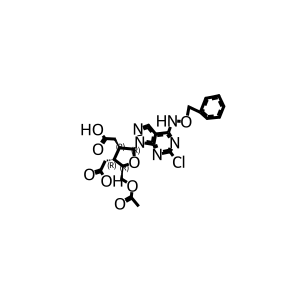 CC(=O)OC[C@@H]1O[C@@H](n2ncc3c(NOCc4ccccc4)nc(Cl)nc32)[C@H](CC(=O)O)[C@H]1CC(=O)O